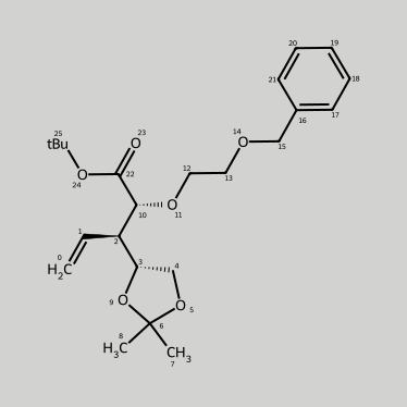 C=C[C@H]([C@@H]1COC(C)(C)O1)[C@@H](OCCOCc1ccccc1)C(=O)OC(C)(C)C